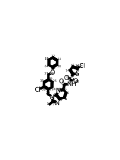 Cc1nc2ccc(C(=O)NS(=O)(=O)c3ccc(Cl)s3)nc2n1Cc1ccc(COc2ccccc2)cc1Cl